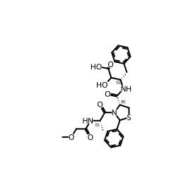 COCC(=O)N[C@@H](C)C(=O)N1C(c2ccccc2)SC[C@H]1C(=O)N[C@@H](Cc1ccccc1)C(O)C(=O)O